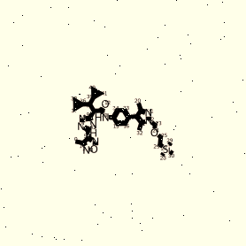 Cc1nonc1-c1nnc(C(C(=O)Nc2ccc(-c3c(C)nn(COCC[Si](C)(C)C)c3C)cc2)C(C2CC2)C2CC2)[nH]1